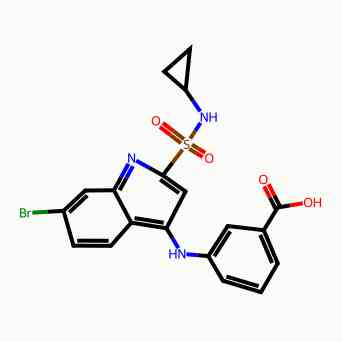 O=C(O)c1cccc(Nc2cc(S(=O)(=O)NC3CC3)nc3cc(Br)ccc23)c1